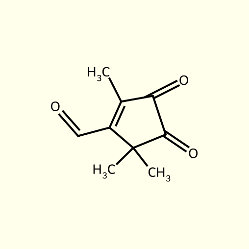 CC1=C(C=O)C(C)(C)C(=O)C1=O